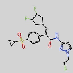 O=C(Nc1ccn(CCF)n1)/C(=C/C1CC(F)C(F)C1)c1ccc(S(=O)(=O)C2CC2)cc1